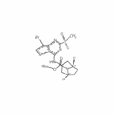 CC(C)c1cnn2c(NC3C[C@H]4CC[C@@H](C3)N4C(=O)OC(C)(C)C)nc(S(C)(=O)=O)nc12